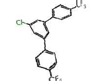 FC(F)(F)c1ccc(-c2cc(Cl)cc(-c3ccc(C(F)(F)F)cc3)c2)cc1